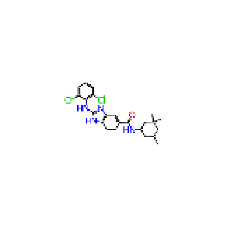 CC1CC(NC(=O)C2=Cc3nc(Nc4c(Cl)cccc4Cl)[nH]c3CC2)CC(C)(C)C1